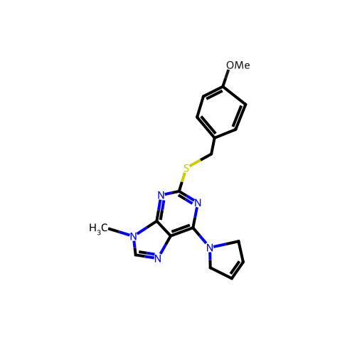 COc1ccc(CSc2nc(N3CC=CC3)c3ncn(C)c3n2)cc1